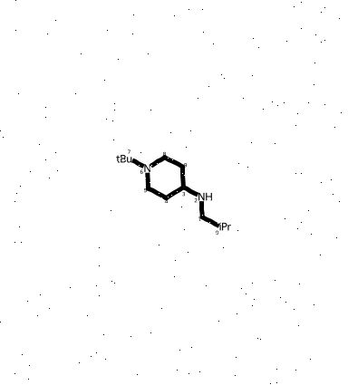 CC(C)CNC1CCN(C(C)(C)C)CC1